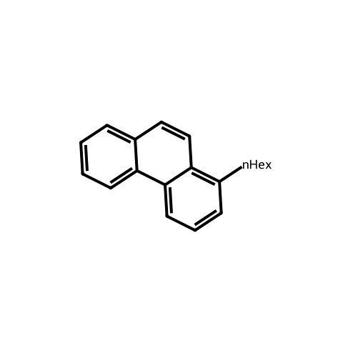 CCCCCCc1cccc2c1ccc1ccccc12